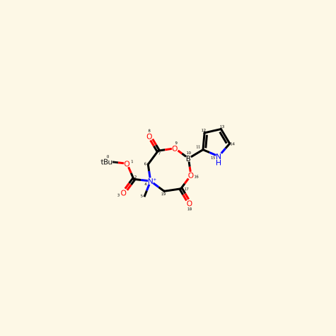 CC(C)(C)OC(=O)[N+]1(C)CC(=O)OB(c2ccc[nH]2)OC(=O)C1